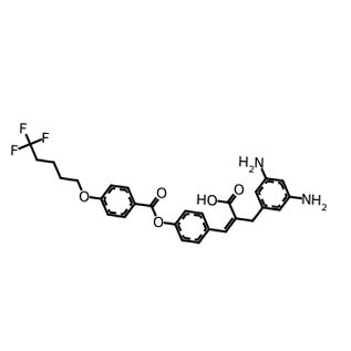 Nc1cc(N)cc(CC(=Cc2ccc(OC(=O)c3ccc(OCCCCC(F)(F)F)cc3)cc2)C(=O)O)c1